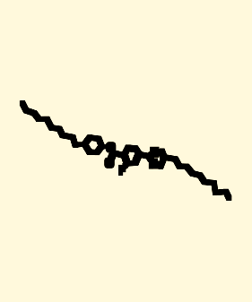 CCCCCCCCCCc1cnc(-c2ccc(C(=O)O[C@H]3CC[C@H](CCCCCCCCCC)CC3)c(F)c2)nc1